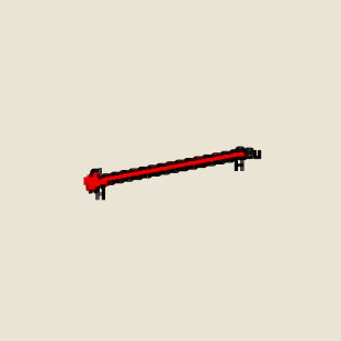 Cc1sc2c(c1C)C(c1ccc(Cl)cc1)=N[C@@H](CC(=O)Nc1ccc(OCCOCCOCCOCCOCCOCCOCCOCCOCCOCCOCCOCCOCCOCCOCCOCCOCCOCCOCCOCCOCCOCCOCCOCCOCCOCCOCCOCCOCCNC(=O)OC(C)(C)C)cc1)c1nnc(C)n1-2